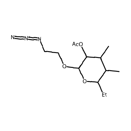 CCC1OC(OCCN=[N+]=[N-])C(OC(C)=O)C(C)C1C